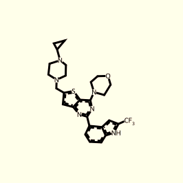 FC(F)(F)c1cc2c(-c3nc(N4CCOCC4)c4sc(CN5CCN(C6CC6)CC5)cc4n3)cccc2[nH]1